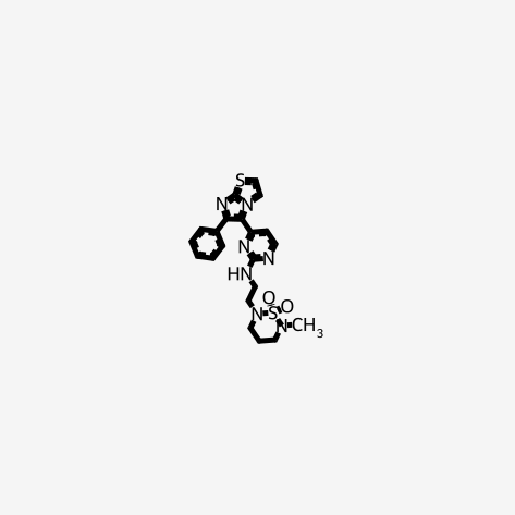 CN1CCCN(CCNc2nccc(-c3c(-c4ccccc4)nc4sccn34)n2)S1(=O)=O